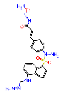 [N-]=[N+]=NCNc1cccc2c(S(=O)(=O)N(N)c3ccc(/C=C/C(=O)N=NON)cc3)cccc12